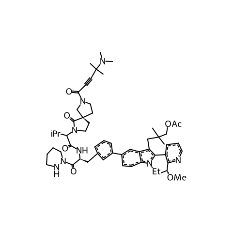 CCn1c(-c2cccnc2[C@H](C)OC)c(CC(C)(C)COC(C)=O)c2cc(-c3cccc(C[C@H](NC(=O)C(C(C)C)N4CC[C@@]5(CCN(C(=O)C#CC(C)(C)N(C)C)C5)C4=O)C(=O)N4CCCCN4)c3)ccc21